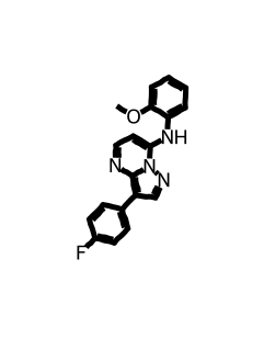 COc1ccccc1Nc1ccnc2c(-c3ccc(F)cc3)cnn12